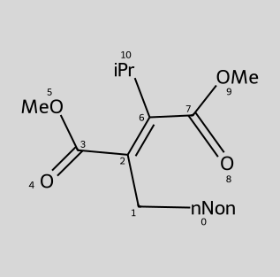 CCCCCCCCCCC(C(=O)OC)=C(C(=O)OC)C(C)C